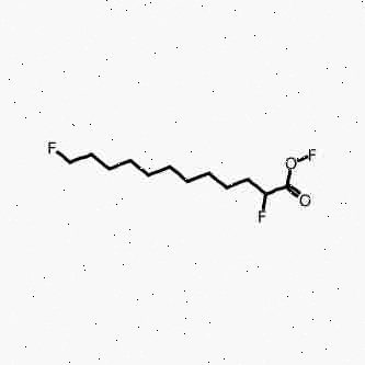 O=C(OF)C(F)CCCCCCCCCCF